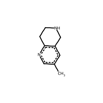 Cc1cnc2c(c1)CNCC2